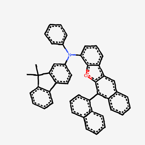 CC1(C)c2ccccc2-c2ccc(N(c3ccccc3)c3cccc4c3oc3c(-c5cccc6ccccc56)c5ccccc5cc34)cc21